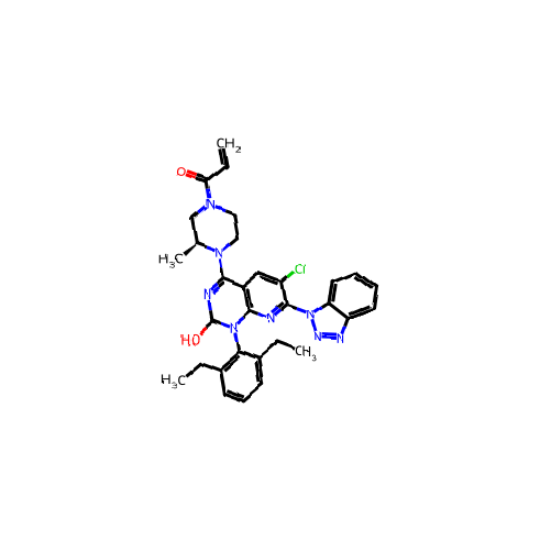 C=CC(=O)N1CCN(C2=NC(O)N(c3c(CC)cccc3CC)c3nc(-n4nnc5ccccc54)c(Cl)cc32)[C@@H](C)C1